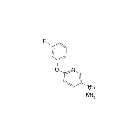 NNc1ccc(Oc2cccc(F)c2)nc1